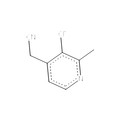 Cc1nccc(CC#N)c1C(F)(F)F